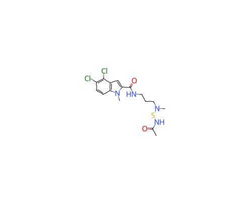 CC(=O)NSN(C)CCCNC(=O)c1cc2c(Cl)c(Cl)ccc2n1C